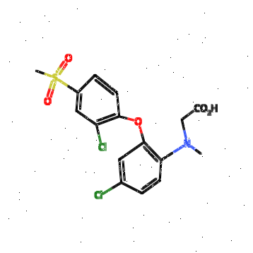 CN(CC(=O)O)c1ccc(Cl)cc1Oc1ccc(S(C)(=O)=O)cc1Cl